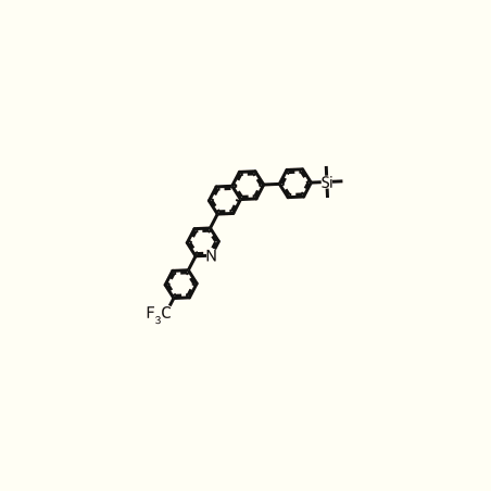 C[Si](C)(C)c1ccc(-c2ccc3ccc(-c4ccc(-c5ccc(C(F)(F)F)cc5)nc4)cc3c2)cc1